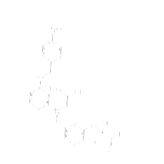 Nc1ccc(COc2cccc(N(Cc3cccc(OC(F)(F)C(F)F)c3)CC(O)C(F)(F)F)c2)cc1